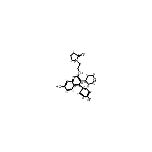 O=C1CCCN1CCOc1nc2cc(O)ccc2c(-c2ccc(F)cc2)c1C1CCOCC1